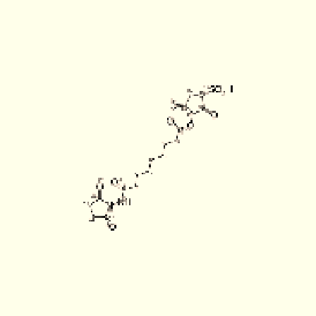 O=C(CCCCCCCC(=O)OC1C(=O)CC(S(=O)(=O)O)C1=O)NN1C(=O)CCC1=O